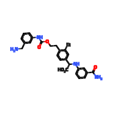 CCc1cc(C(Nc2cccc(C(N)=O)c2)C(=O)O)ccc1CCOC(=O)Nc1cccc(CN)c1